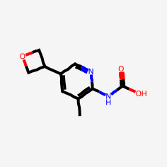 Cc1cc(C2COC2)cnc1NC(=O)O